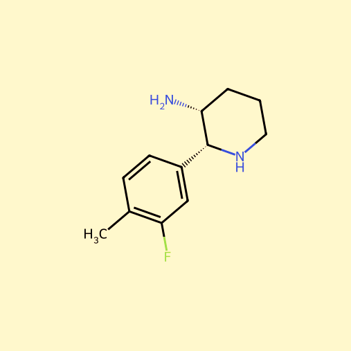 Cc1ccc([C@H]2NCCC[C@H]2N)cc1F